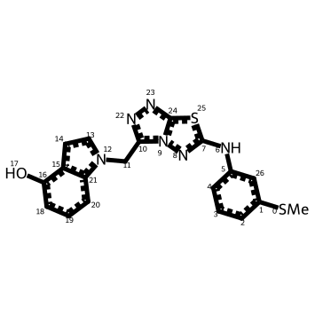 CSc1cccc(Nc2nn3c(Cn4ccc5c(O)cccc54)nnc3s2)c1